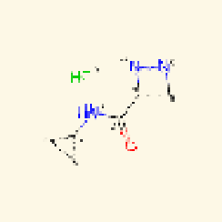 Cl.O=C(NC1CC1)C1CN=N1